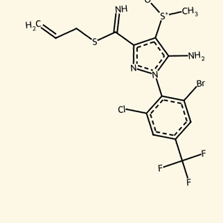 C=CCSC(=N)c1nn(-c2c(Cl)cc(C(F)(F)F)cc2Br)c(N)c1[S+](C)[O-]